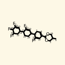 CC1COC(C2=CCC(C3C=C(F)C(C4C=C(F)C(F)C(F)C4)CC3)C(F)=C2)OC1